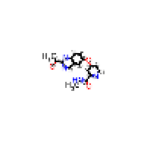 CNC(=O)c1cc(Oc2ccc3nc(C(C)=O)ncc3c2)ccn1